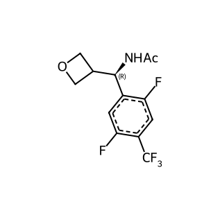 CC(=O)N[C@@H](c1cc(F)c(C(F)(F)F)cc1F)C1COC1